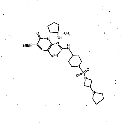 C[C@@]1(O)CCC[C@H]1n1c(=O)c(C#N)cc2cnc(NC3CCN(S(=O)(=O)N4CC(N5CCCC5)C4)CC3)nc21